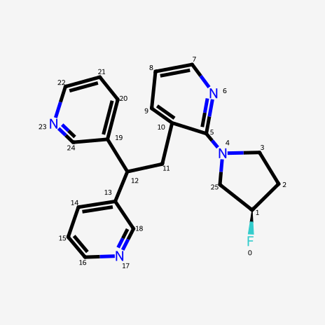 F[C@@H]1CCN(c2ncccc2CC(c2cccnc2)c2cccnc2)C1